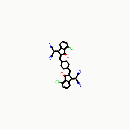 N#CC(C#N)=C1/C(=C/C2CCC(/C=C3\C(=O)c4c(Cl)cccc4C3=C(C#N)C#N)CC2)C(=O)c2c(Cl)cccc21